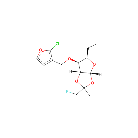 CC[C@H]1O[C@@H]2OC(C)(CF)O[C@@H]2[C@H]1OCc1ccoc1Cl